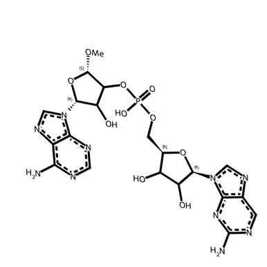 CO[C@H]1O[C@@H](n2cnc3c(N)ncnc32)C(O)C1OP(=O)(O)OC[C@H]1O[C@@H](n2cnc3cnc(N)nc32)C(O)C1O